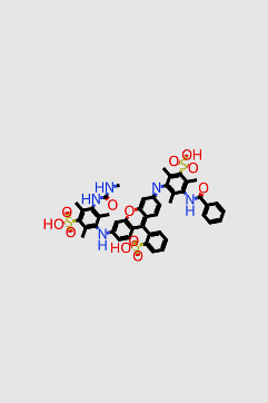 CNC(=O)Nc1c(C)c(Nc2ccc3c(-c4ccccc4S(=O)(=O)O)c4cc/c(=N\c5c(C)c(NC(=O)c6ccccc6)c(C)c(S(=O)(=O)O)c5C)cc-4oc3c2)c(C)c(S(=O)(=O)O)c1C